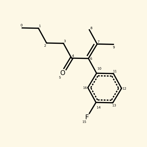 CCCCC(=O)C(=C(C)C)c1cccc(F)c1